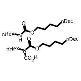 CCCCCCCCCCCCCCOC(=O)N(CCCCCC)C(=O)O.CCCCCCCCCCCCCCOC(=O)NCCCCCC